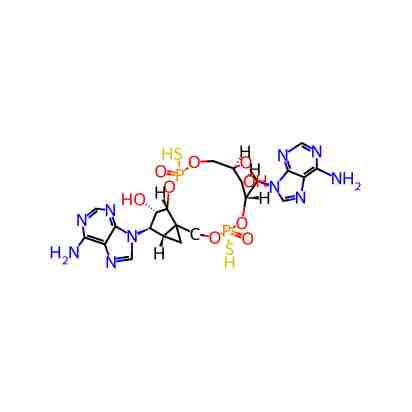 Nc1ncnc2c1ncn2[C@H]1[C@H](O)[C@@H]2O[P@@](=O)(S)OC[C@H]3O[C@@H](n4cnc5c(N)ncnc54)[C@H](O[P@](=O)(S)OCC24C[C@H]14)[C@@H]3O